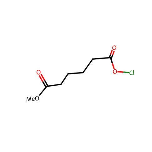 COC(=O)CCCCC(=O)OCl